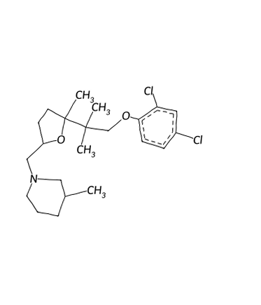 CC1CCCN(CC2CCC(C)(C(C)(C)COc3ccc(Cl)cc3Cl)O2)C1